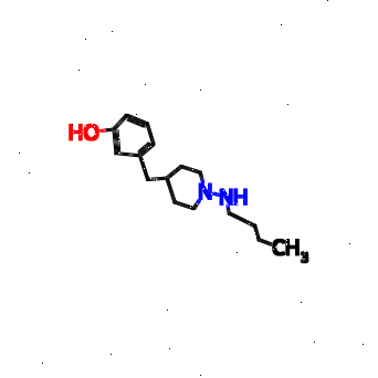 CCCCNN1CCC(Cc2cccc(O)c2)CC1